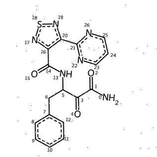 NC(=O)C(=O)C(Cc1ccccc1)NC(=O)c1nsnc1-c1ncccn1